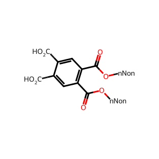 CCCCCCCCCOC(=O)c1cc(C(=O)O)c(C(=O)O)cc1C(=O)OCCCCCCCCC